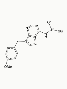 COc1ccc(Cn2ccc3c(N[S+]([O-])C(C)(C)C)ccnc32)cc1